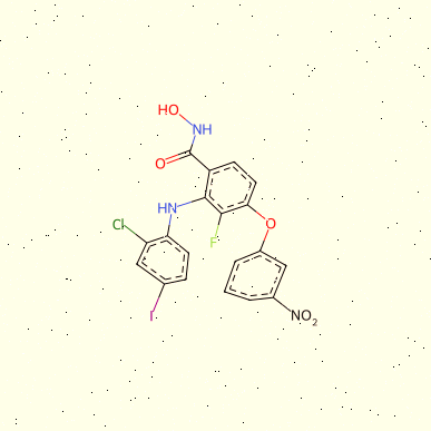 O=C(NO)c1ccc(Oc2cccc([N+](=O)[O-])c2)c(F)c1Nc1ccc(I)cc1Cl